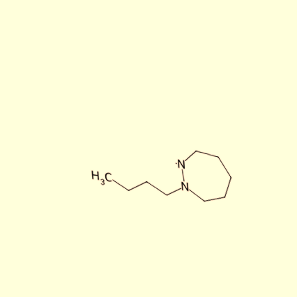 CCCCN1CCCCC[N]1